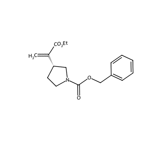 C=C(C(=O)OCC)[C@H]1CCN(C(=O)OCc2ccccc2)C1